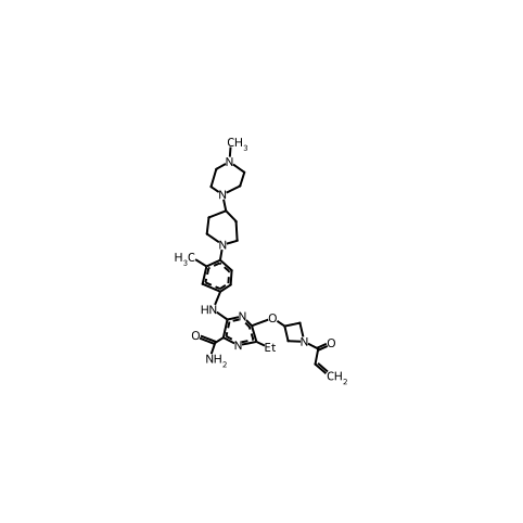 C=CC(=O)N1CC(Oc2nc(Nc3ccc(N4CCC(N5CCN(C)CC5)CC4)c(C)c3)c(C(N)=O)nc2CC)C1